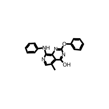 Cc1cnc(Nc2ccccc2)c2nc(Oc3ccccc3)nc(O)c12